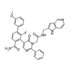 COc1cccc(-c2ccc(C(N)=O)c(-c3cnc(-c4ccccc4)n(CC(=O)NCc4cc5cnccc5[nH]4)c3=O)c2F)c1